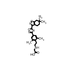 Cc1cc(-c2noc(-c3noc4c3CCC(C)(C)C4)n2)cc(C)c1CCNCC(=O)O